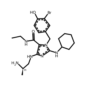 CCNC(=O)c1c(NC[C@@H](C)N)nc(NC2CCCCC2)n1Cc1ccc(O)c(Br)c1